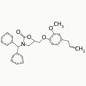 C=CCc1ccc(OCC2CN(C(c3ccccc3)c3ccccc3)C(=O)O2)c(OC)c1